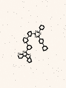 c1ccc(-c2ccc(-c3nc(-c4ccccc4)nc(-c4cccc(-c5cccc(-c6cccc(-c7nc8ncccc8c8c7sc7ccccc78)c6)c5)c4)n3)cc2)cc1